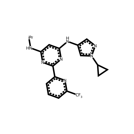 CC(C)Nc1cc(Nc2cnn(C3CC3)c2)nc(-c2cccc(C(F)(F)F)n2)n1